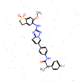 COc1cc2c(cc1Nc1nc3ccc(-c4ccc(NC(=O)[C@H](C)c5ccc(F)cc5)cc4)cn3n1)CCS2(=O)=O